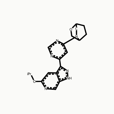 CC(C)Oc1cc2c(-c3cc(N4CC5CCC4CO5)ncn3)n[nH]c2cn1